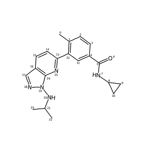 Cc1ccc(C(=O)NC2CC2)cc1-c1ccc2cnn(NC(C)C)c2n1